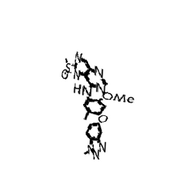 COc1cc(Oc2ccc3c(c2)nnn3C)c(C)cc1Nc1ncnc2cnc([S+](C)[O-])nc12